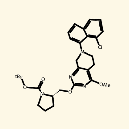 COc1nc(OC[C@@H]2CCCN2C(=O)OC(C)(C)C)nc2c1CCN(c1cccc3cccc(Cl)c13)C2